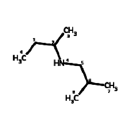 CCC(C)NCC(C)C